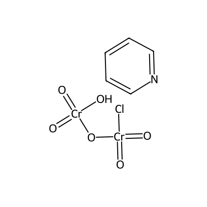 [O]=[Cr](=[O])([OH])[O][Cr](=[O])(=[O])[Cl].c1ccncc1